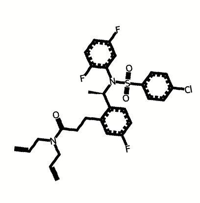 C=CCN(CC=C)C(=O)CCc1cc(F)ccc1[C@@H](C)N(c1cc(F)ccc1F)S(=O)(=O)c1ccc(Cl)cc1